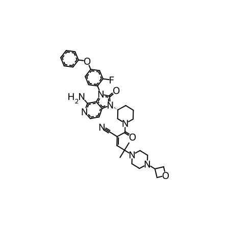 CC(C)(/C=C(/C#N)C(=O)N1CCC[C@@H](n2c(=O)n(-c3ccc(Oc4ccccc4)cc3F)c3c(N)nccc32)C1)N1CCN(C2COC2)CC1